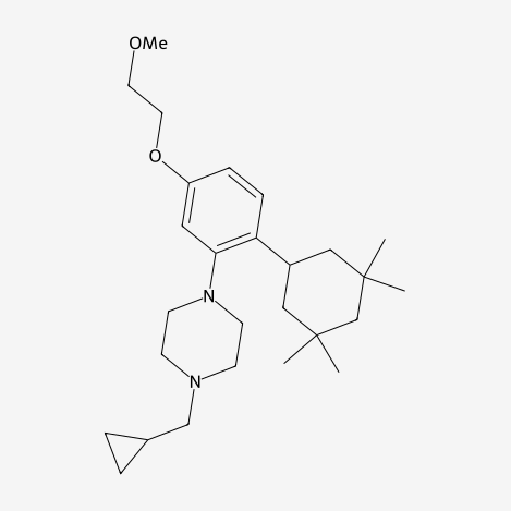 COCCOc1ccc(C2CC(C)(C)CC(C)(C)C2)c(N2CCN(CC3CC3)CC2)c1